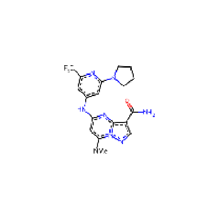 CNc1cc(Nc2cc(N3CCCC3)nc(C(F)(F)F)c2)nc2c(C(N)=O)cnn12